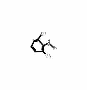 CCC(C)Nc1c(C)cccc1O